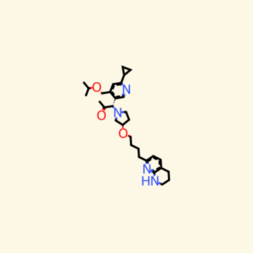 CC(=O)[C@H](c1cnc(C2CC2)cc1COC(C)C)N1CC[C@@H](OCCCCc2ccc3c(n2)NCCC3)C1